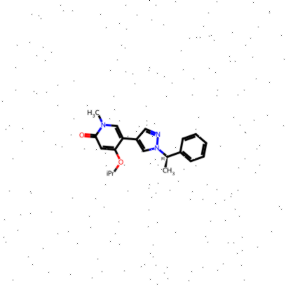 CC(C)Oc1cc(=O)n(C)cc1-c1cnn([C@H](C)c2ccccc2)c1